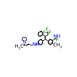 C=C(/C=C/CNCc1ccc(/C(=C(/CC(F)(F)F)c2ccccc2)c2ccc(C)c(C(=N)F)c2)cc1)N1CCCC1